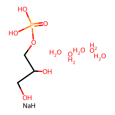 O.O.O.O.O.O=P(O)(O)OCC(O)CO.[NaH]